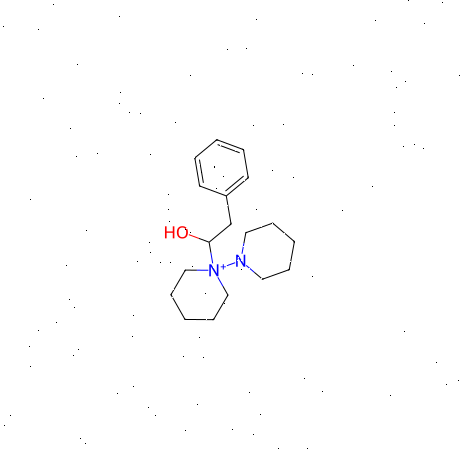 OC(Cc1ccccc1)[N+]1(N2CCCCC2)CCCCC1